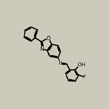 Oc1c(F)cccc1/C=N/c1ccc2oc(-c3ccccc3)nc2c1